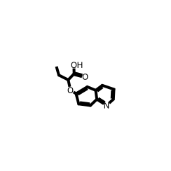 CCC(Oc1ccc2ncccc2c1)C(=O)O